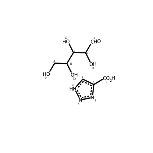 O=C(O)c1c[nH]nn1.O=CC(O)C(O)C(O)CO